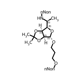 CCCCCCCCCN[C@@H](C)[C@H]1O[C@H](OCCCOCCCCCCCCC)[C@H]2OC(C)(C)O[C@H]21